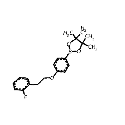 CC1(C)OB(c2ccc(OCCc3ccccc3F)cc2)OC1(C)C